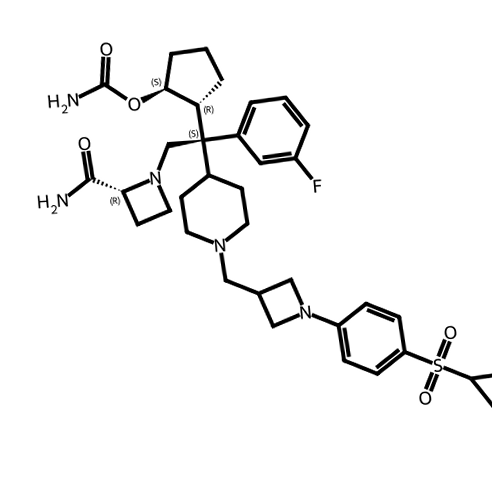 NC(=O)O[C@H]1CCC[C@@H]1[C@](CN1CC[C@@H]1C(N)=O)(c1cccc(F)c1)C1CCN(CC2CN(c3ccc(S(=O)(=O)C4CC4)cc3)C2)CC1